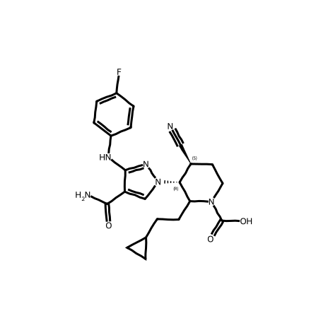 N#C[C@H]1CCN(C(=O)O)C(CCC2CC2)[C@@H]1n1cc(C(N)=O)c(Nc2ccc(F)cc2)n1